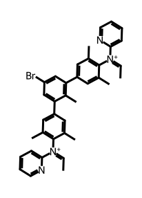 CC=[N+](c1ccccn1)c1c(C)cc(-c2cc(Br)cc(-c3cc(C)c([N+](=CC)c4ccccn4)c(C)c3)c2C)cc1C